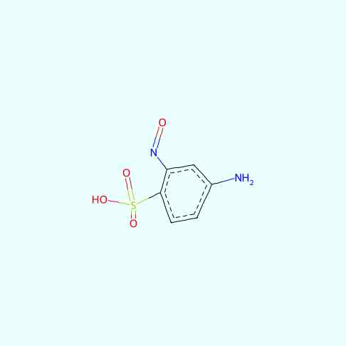 Nc1ccc(S(=O)(=O)O)c(N=O)c1